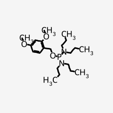 CCCN(CCC)P(OCc1ccc(OC)cc1OC)N(CCC)CCC